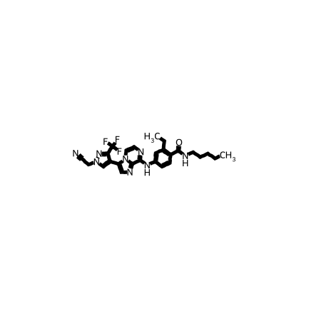 CCCCCNC(=O)c1ccc(Nc2nccn3c(-c4cn(CC#N)nc4C(F)(F)F)cnc23)cc1CC